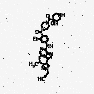 C#CCn1cc(-c2cnc3c(Nc4ccc(C(=O)N5CCN(C(=O)C6(O)CCNCC6)CC5)c(CC)c4)nccn23)c(C(C)F)n1